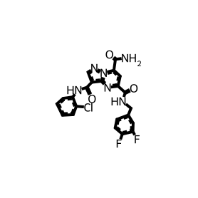 NC(=O)c1cc(C(=O)NCc2ccc(F)c(F)c2)nc2c(C(=O)Nc3ccccc3Cl)cnn12